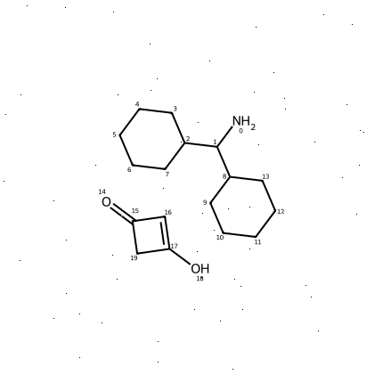 NC(C1CCCCC1)C1CCCCC1.O=C1C=C(O)C1